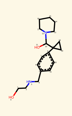 OCCNCc1ccc(C2(C(O)N3CCCCC3)CC2)cc1